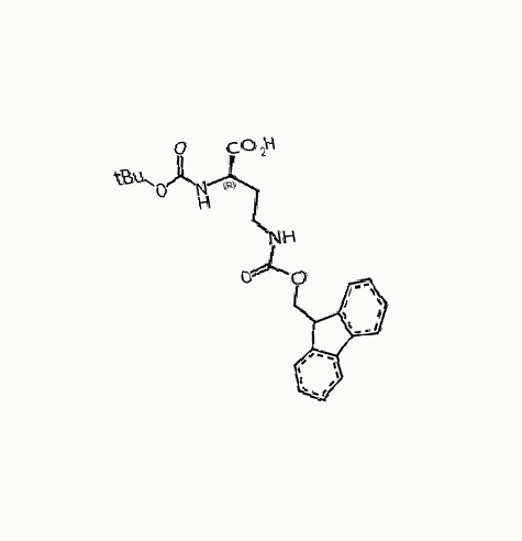 CC(C)(C)OC(=O)N[C@H](CCNC(=O)OCC1c2ccccc2-c2ccccc21)C(=O)O